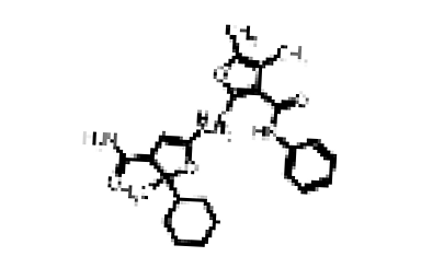 CC1=CC(C(N)=O)C(C)(C2CCCCC2)O1.Cc1oc(C)c(C(=O)Nc2ccccc2)c1C